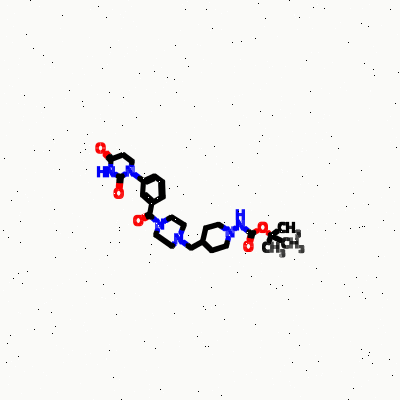 CC(C)(C)OC(=O)NN1CCC(CN2CCN(C(=O)c3cccc(N4CCC(=O)NC4=O)c3)CC2)CC1